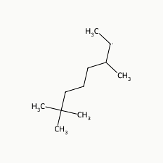 C[CH]C(C)CCCC(C)(C)C